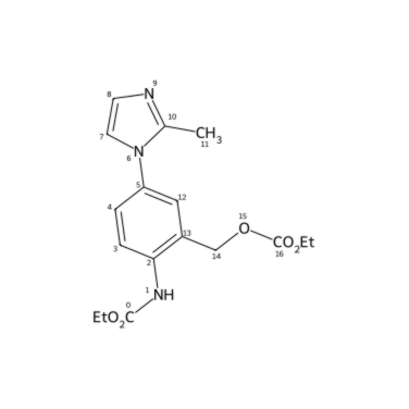 CCOC(=O)Nc1ccc(-n2ccnc2C)cc1COC(=O)OCC